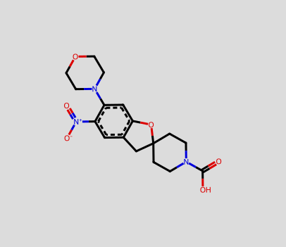 O=C(O)N1CCC2(CC1)Cc1cc([N+](=O)[O-])c(N3CCOCC3)cc1O2